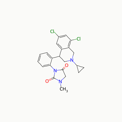 CN1CC(=O)N(c2ccccc2C2CN(C3CC3)Cc3c(Cl)cc(Cl)cc32)C1=O